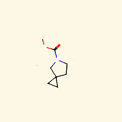 CC(C)(C)OC(=O)N1CC2(CC2)C[C@H]1C(=O)[O-].[K+]